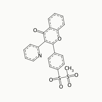 CS(=O)(=O)S(=O)(=O)c1ccc(-c2oc3ccccc3c(=O)c2-c2ccccn2)cc1